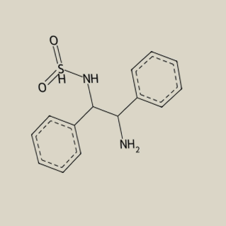 NC(c1ccccc1)C(N[SH](=O)=O)c1ccccc1